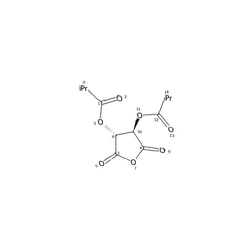 CC(C)C(=O)O[C@H]1C(=O)OC(=O)[C@@H]1OC(=O)C(C)C